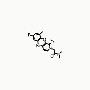 Cc1cc(F)cc(C)c1Oc1c(Br)ccn(CC(=O)N(C)C)c1=O